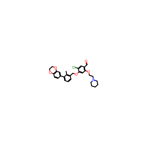 Cc1c(COc2cc(OCCN3CCCCC3)c(C=O)cc2Cl)cccc1-c1ccc2c(c1)OCCO2